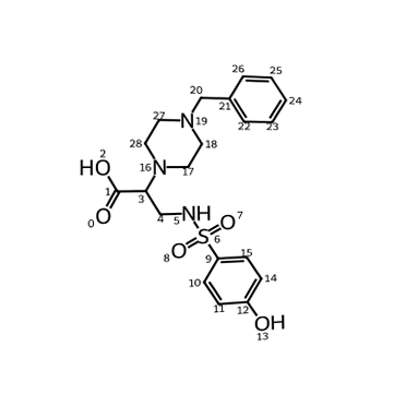 O=C(O)C(CNS(=O)(=O)c1ccc(O)cc1)N1CCN(Cc2ccccc2)CC1